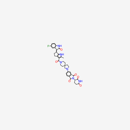 Cc1[nH]c2c(c1C(=O)N1CCC3(CC1)CCN(c1ccc4c(c1)C(=O)N(C1CCC(=O)NC1=O)C4=O)C3)CCC2=C1C(=O)Nc2ccc(F)cc21